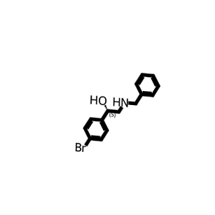 O[C@H](CNCc1ccccc1)c1ccc(Br)cc1